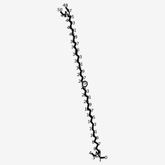 CCN(CC)CCCCCCCCCCC=CCCCCCCCCOCCCCCCCCC=CCCCCCCCCCCN(CC)CC